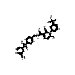 C=CC(CC(N)=O)S(=O)(=O)c1ccc(CNC(=O)c2ccc(C)n(-c3cccc(C(F)(F)F)c3)c2=O)cc1